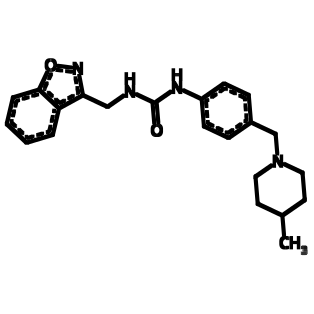 CC1CCN(Cc2ccc(NC(=O)NCc3noc4ccccc34)cc2)CC1